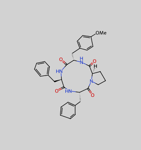 COc1ccc(C[C@@H]2NC(=O)[C@H]3CCCN3C(=O)[C@H](Cc3ccccc3)NC(=O)[C@@H](Cc3ccccc3)NC2=O)cc1